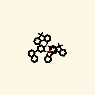 CC1(C)c2ccccc2-c2ccc(N(c3ccc(-c4cccc5ccccc45)cc3-n3c4ccccc4c4ccccc43)c3cccc4c3-c3ccccc3C4(C)C)cc21